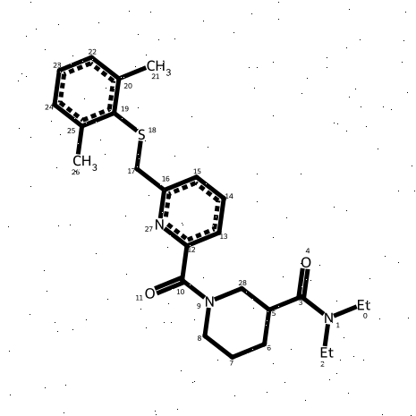 CCN(CC)C(=O)C1CCCN(C(=O)c2cccc(CSc3c(C)cccc3C)n2)C1